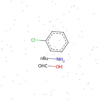 CCCCN.Clc1ccccc1.O=CO